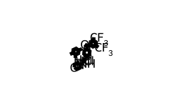 Cc1ccc(C[C@@H]2CN(CCNN3CCOCC3)CCN2C(=O)c2cc(C(F)(F)F)cc(C(F)(F)F)c2)cc1C.Cl.Cl